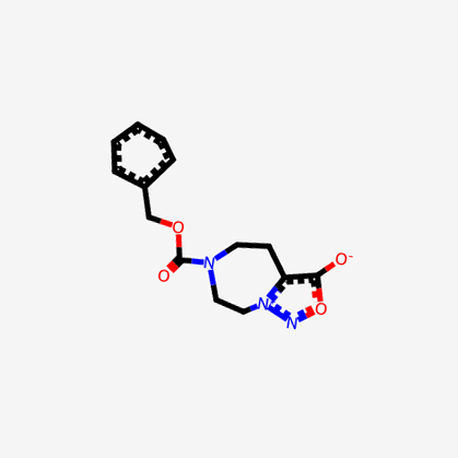 O=C(OCc1ccccc1)N1CCc2c([O-])on[n+]2CC1